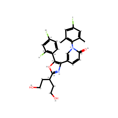 Cc1cc(F)cc(C)c1-n1cc(-c2nc(C(CCO)CCO)oc2-c2ccc(F)cc2F)ccc1=O